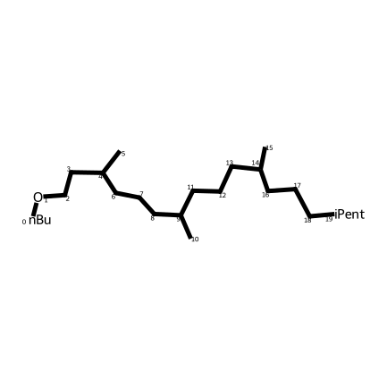 CCCCOCCC(C)CCCC(C)CCCC(C)CCCC(C)CCC